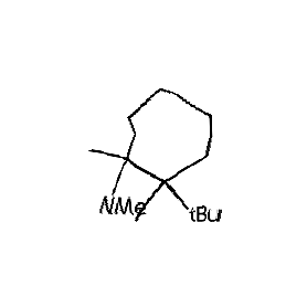 CNC1(C)CCCCC1(C)C(C)(C)C